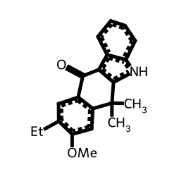 CCc1cc2c(cc1OC)C(C)(C)c1[nH]c3ccccc3c1C2=O